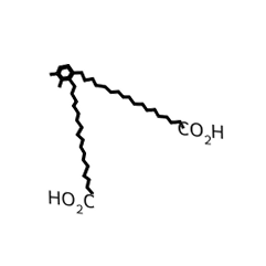 Cc1ccc(CCCCCCCCCCCCCCCCCC(=O)O)c(CCCCCCCCCCCCCCCCCC(=O)O)c1C